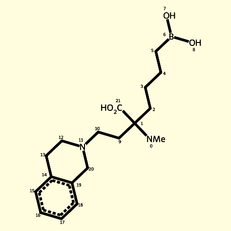 CNC(CCCCB(O)O)(CCN1CCc2ccccc2C1)C(=O)O